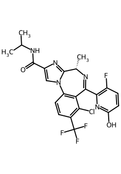 CC(C)NC(=O)c1cn2c(n1)[C@H](C)N=C(c1nc(O)ccc1F)c1c-2ccc(C(F)(F)F)c1Cl